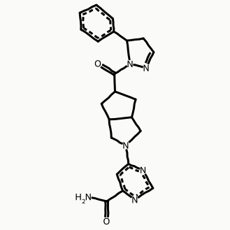 NC(=O)c1cc(N2CC3CC(C(=O)N4N=CCC4c4ccccc4)CC3C2)ncn1